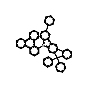 c1ccc(-c2ccc3c(c2)c2cc4c(cc2n3-c2cccc3c5ccccc5c5ccccc5c23)C(c2ccccc2)(c2ccccc2)c2ccccc2-4)cc1